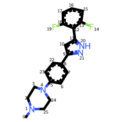 CN1CCN(c2ccc(-c3cc(-c4c(F)cccc4F)[nH]n3)cc2)CC1